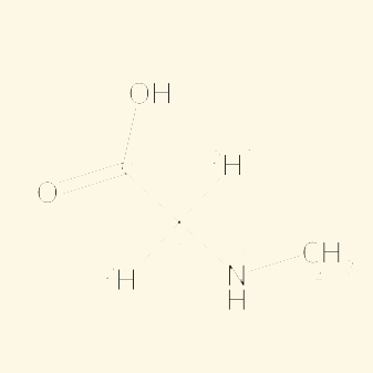 [2H]C([2H])(NC)C(=O)O